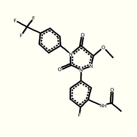 COc1nn(-c2ccc(F)c(NC(C)=O)c2)c(=O)n(-c2ccc(C(F)(F)F)cc2)c1=O